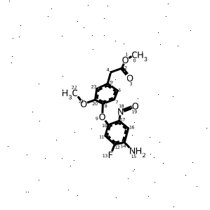 COC(=O)Cc1ccc(Oc2cc(F)c(N)cc2N=O)c(OC)c1